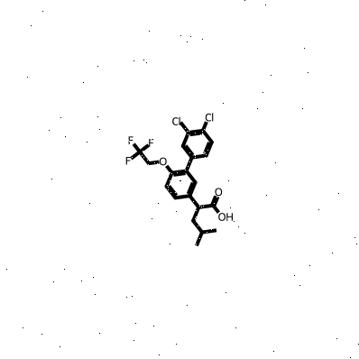 CC(C)CC(C(=O)O)c1ccc(OCC(F)(F)F)c(-c2ccc(Cl)c(Cl)c2)c1